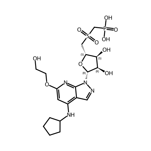 O=P(O)(O)CS(=O)(=O)C[C@H]1O[C@@H](n2ncc3c(NC4CCCC4)cc(OCCO)nc32)[C@H](O)[C@@H]1O